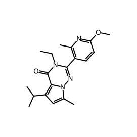 CCn1c(-c2ccc(OC)nc2C)nn2c(C)cc(C(C)C)c2c1=O